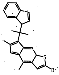 CC1=C(C(C)(C)C2C=Cc3ccccc32)C2=CC3SC(Br)=CC3=C(C)C2=C1